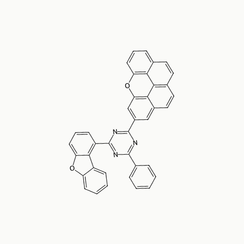 c1ccc(-c2nc(-c3cc4c5c(ccc6ccc7cccc(c7c65)O4)c3)nc(-c3cccc4oc5ccccc5c34)n2)cc1